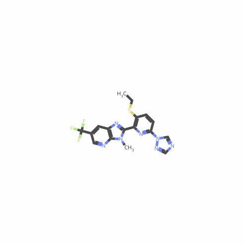 CCSc1ccc(-n2cncn2)nc1-c1nc2cc(C(F)(F)F)cnc2n1C